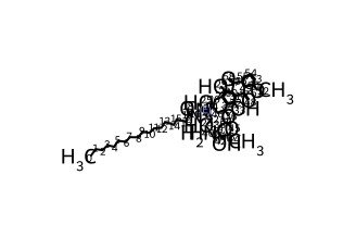 CCCCCCCCCCCCCCCCCC(=O)N/N=C(\CO)[C@@]1(O)Cc2c(O)c3c(c(O)c2C(O[C@H]2CC(N)[C@H](O)C(C)O2)C1)C(=O)c1c(OC)cccc1C3=O